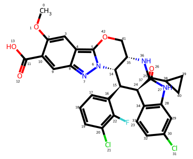 COc1cc2c3n(nc2cc1C(=O)O)[C@@H]([C@H](c1cccc(Cl)c1F)[C@H]1C(=O)Nc2cc(Cl)ccc21)[C@@H](NCC1CC1)CO3